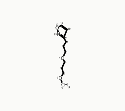 COCCCOCCCc1ccon1